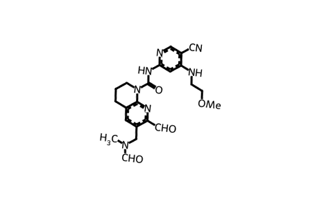 COCCNc1cc(NC(=O)N2CCCc3cc(CN(C)C=O)c(C=O)nc32)ncc1C#N